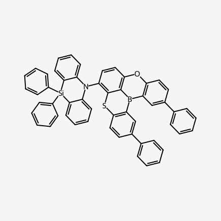 c1ccc(-c2ccc3c(c2)B2c4cc(-c5ccccc5)ccc4Sc4c(N5c6ccccc6[Si](c6ccccc6)(c6ccccc6)c6ccccc65)ccc(c42)O3)cc1